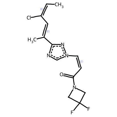 C/C=C(Cl)\C=C(/C)c1ncn(/C=C\C(=O)N2CC(F)(F)C2)n1